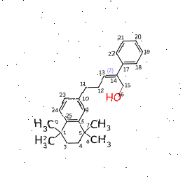 CC1(C)CCC(C)(C)c2cc(CC/C=C(\CO)c3ccccc3)ccc21